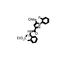 CCOC(=O)C[C@H](NC(=O)c1cc(OC)n(-c2ccccc2F)n1)c1ccccc1C